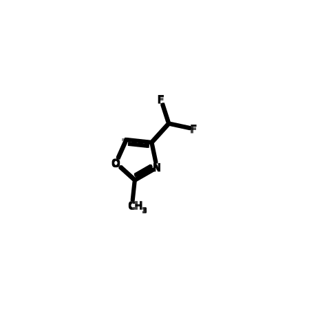 Cc1nc(C(F)F)[c]o1